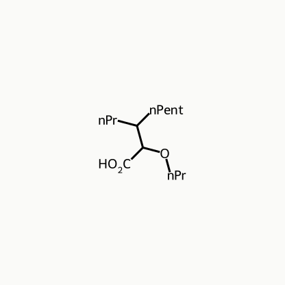 CCCCCC(CCC)C(OCCC)C(=O)O